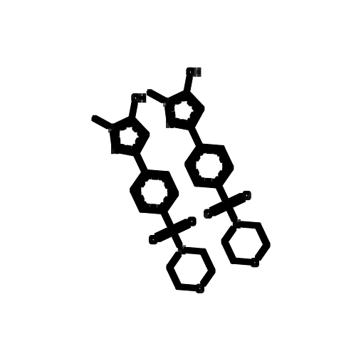 Cn1nc(-c2ccc(S(=O)(=O)N3CCOCC3)cc2)cc1O.Cn1nc(-c2ccc(S(=O)(=O)N3CCOCC3)cc2)cc1O